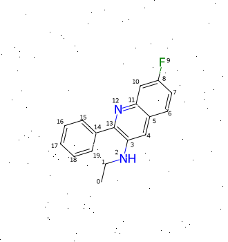 CCNc1cc2ccc(F)cc2nc1-c1ccccc1